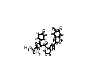 CN(C)c1nc(C(=O)N2CCCCC2CNc2cnc3cc(F)c(F)cc3n2)c(-c2ccc(F)cc2)s1